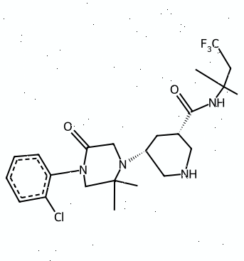 CC(C)(CC(F)(F)F)NC(=O)[C@@H]1CNC[C@H](N2CC(=O)N(c3ccccc3Cl)CC2(C)C)C1